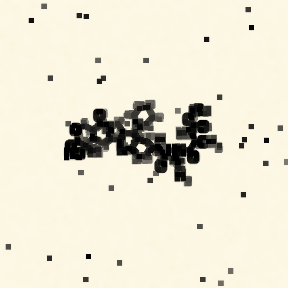 CC[C@@]1(O)C(=O)OCc2c1cc1n(c2=O)Cc2c-1nc1ccc(NC(=O)[C@H](C)NC(=O)[C@H](C)NC(=O)OC(C)(C)C)cc1c2N1CCCCC1